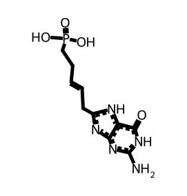 Nc1nc2nc(CC=CCCP(=O)(O)O)[nH]c2c(=O)[nH]1